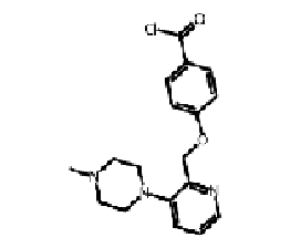 CN1CCN(c2cccnc2COc2ccc(C(=O)Cl)cc2)CC1